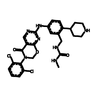 CNC(=O)NCc1cc(Nc2ncc3c(n2)OCN(c2c(Cl)cccc2Cl)C3=O)ccc1C1CCNCC1